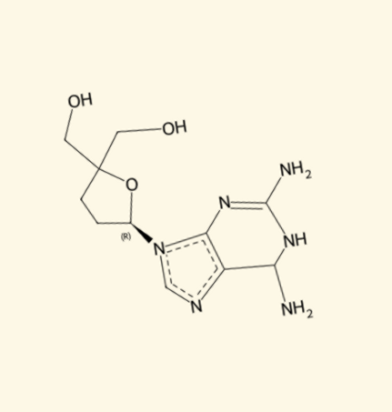 NC1=Nc2c(ncn2[C@H]2CCC(CO)(CO)O2)C(N)N1